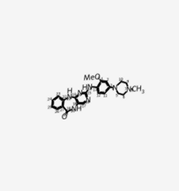 COc1cc(N2CCN(C)CC2)ccc1Nc1ncc2c(n1)Nc1ccccc1C(=O)N2